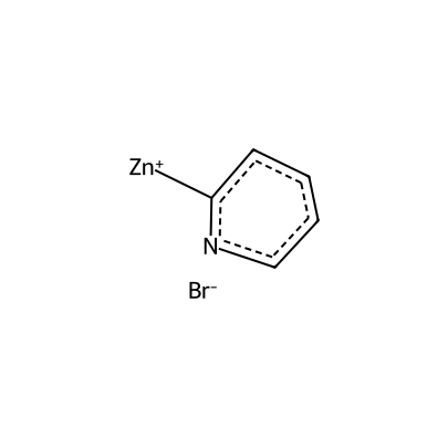 [Br-].[Zn+][c]1ccccn1